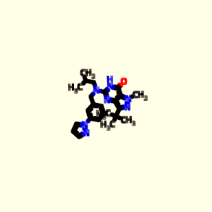 CC(C)CN(Cc1cccc(-n2cccn2)c1)c1nc2c(C(C)(C)C)nn(C)c2c(=O)[nH]1